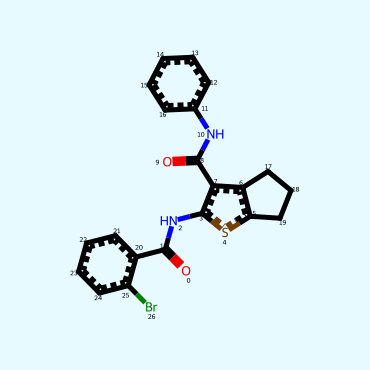 O=C(Nc1sc2c(c1C(=O)Nc1ccccc1)CCC2)c1ccccc1Br